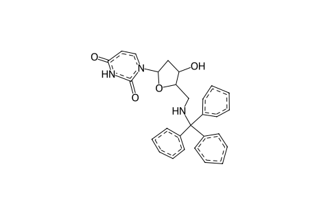 O=c1ccn(C2CC(O)C(CNC(c3ccccc3)(c3ccccc3)c3ccccc3)O2)c(=O)[nH]1